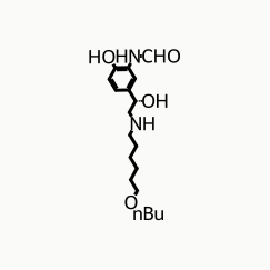 CC[CH]COCCCCCCNC[C@@H](O)c1ccc(O)c(NC=O)c1